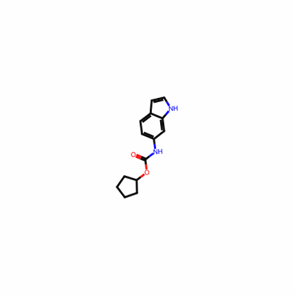 O=C(Nc1ccc2cc[nH]c2c1)OC1CCCC1